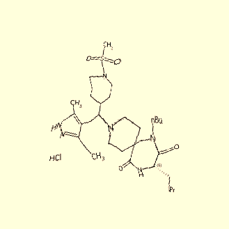 CCCCN1C(=O)[C@H](CC(C)C)NC(=O)C12CCN(C(c1c(C)n[nH]c1C)C1CCN(S(C)(=O)=O)CC1)CC2.Cl